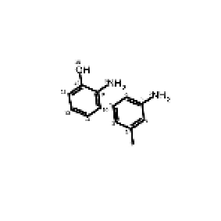 Cc1cccc(N)c1.Nc1ccccc1O